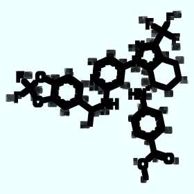 COC(=O)c1ccc(N[C@H]2CCCc3c(C(F)(F)F)nn(-c4ccnc(NC(C)c5ccc6c(c5)OC(F)(F)O6)c4)c32)cc1